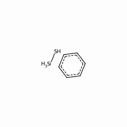 [SiH3]S.c1ccccc1